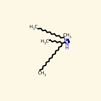 CCCCCCCCCCCCCCCC(CCCCCC)c1[nH]cc[n+]1C(C)CCCCCCCCCCCC